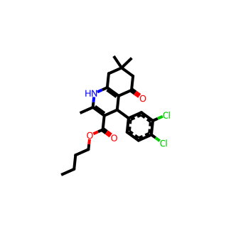 CCCCOC(=O)C1=C(C)NC2=C(C(=O)CC(C)(C)C2)C1c1ccc(Cl)c(Cl)c1